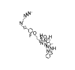 Cc1c(Nc2nc3ccccc3s2)nnc2c1CCCN2C1=NC=C(CCCOc2ccc(C34CC(CN(C)CCCN=[N+]=[N-])(C3)C4)cc2F)[SH]1C(=O)O